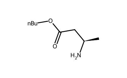 CCCCOC(=O)C[C@@H](C)N